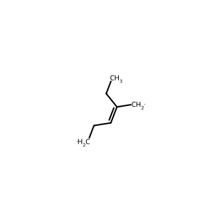 [CH2]CC=C([CH2])CC